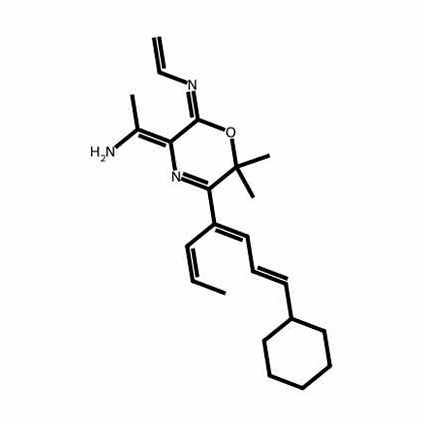 C=C/N=C1/OC(C)(C)C(C(/C=C\C)=C/C=C/C2CCCCC2)=N/C1=C(/C)N